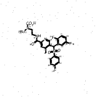 Cc1cc(C(=O)NCCN(C(=O)O)C(C)(C)C)ncc1C(c1cc(F)ccc1F)S(=O)(=O)c1ccc(F)cc1